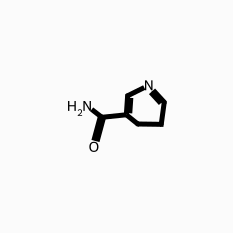 NC(=O)C1=CN=CCC1